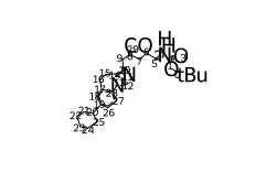 CC(C)(C)OC(=O)NCCCC(Cc1ncn2c1CCc1cc(C3CCCCC3)ccc1-2)C(=O)O